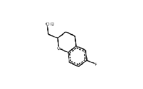 O=CCC1CCc2cc(F)ccc2O1